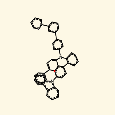 C1=C(c2ccccc2)CCC(N(c2ccc(-c3cccc(-c4ccccc4)c3)cc2)c2ccccc2-c2ccc(-n3c4ccccc4c4ccccc43)cc2)=C1